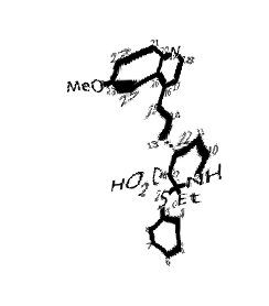 CCC1(SC2CCCCC2)NCC[C@@H](CCCc2ccnc3ccc(OC)cc23)[C@H]1C(=O)O